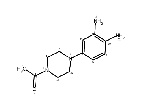 CC(=O)N1CCN(c2ccc(N)c(N)c2)CC1